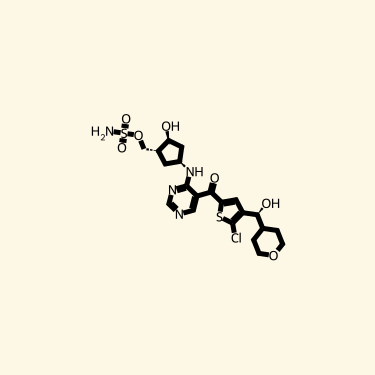 NS(=O)(=O)OC[C@H]1C[C@@H](Nc2ncncc2C(=O)c2cc([C@H](O)C3CCOCC3)c(Cl)s2)C[C@@H]1O